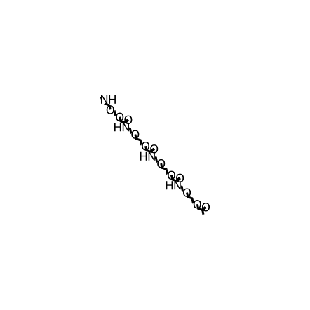 CNCCOCCOCC(=O)NCCOCCCOCC(=O)NCCOCCCOCC(=O)NCCOCCCOCC(C)=O